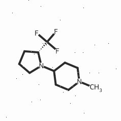 CN1CCC(N2CCC[C@@H]2C(F)(F)F)CC1